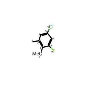 COc1c(C)cc(Cl)cc1F